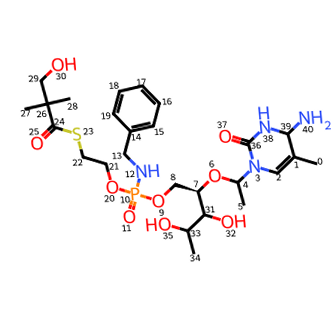 CC1=CN(C(C)O[C@H](COP(=O)(NCc2ccccc2)OCCSC(=O)C(C)(C)CO)C(O)C(C)O)C(=O)NC1N